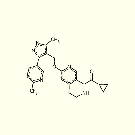 Cc1nnn(-c2ccc(C(F)(F)F)nc2)c1COc1cc2c(cn1)C(C(=O)C1CC1)NCC2